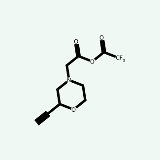 C#CC1CN(CC(=O)OC(=O)C(F)(F)F)CCO1